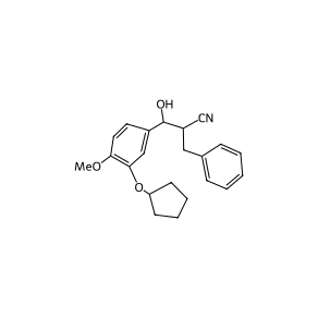 COc1ccc(C(O)C(C#N)Cc2ccccc2)cc1OC1CCCC1